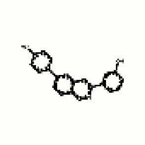 Oc1ccc(-c2ccc3cnc(-c4cccc(O)c4)cc3n2)cc1